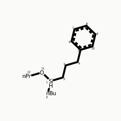 CCCC[SiH](CCCc1ccccc1)OCCC